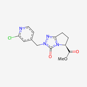 COC(=O)[C@@H]1CCc2nn(Cc3ccnc(Cl)c3)c(=O)n21